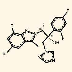 Cc1c2cc(Br)cc(F)c2nn1[C@H](C)[C@](O)(Cn1cncn1)c1ccc(F)cc1F